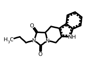 CCCN1C(=O)C2Cc3c([nH]c4ccccc34)CN2C1=O